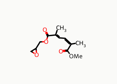 COC(=O)C(C)=CC=C(C)C(=O)OCC1CO1